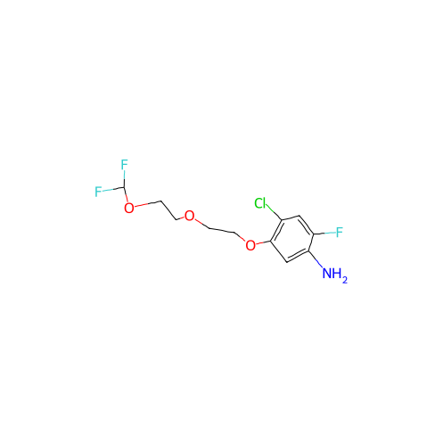 Nc1cc(OCCOCCOC(F)F)c(Cl)cc1F